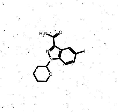 NC(=O)c1nn(C2CCCCO2)c2ccc(I)cc12